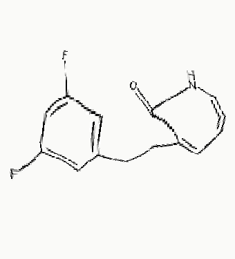 O=c1[nH]cccc1Cc1cc(F)cc(F)c1